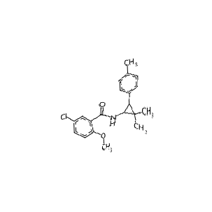 COc1ccc(Cl)cc1C(=O)NC1C(c2ccc(C)cc2)C1(C)C